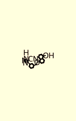 N#Cc1[nH]nnc1-c1cccc(COc2cccc3c(O)cccc23)c1